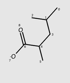 CC(C)CC(C)C([O])=O